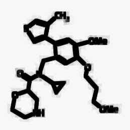 COCCCOc1cc(CN(C(=O)C2CNCCO2)C2CC2)c(-c2cscc2C)cc1OC